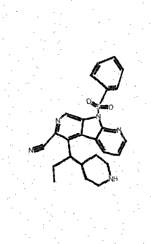 CCC(c1c(C#N)ncc2c1c1cccnc1n2S(=O)(=O)c1ccccc1)C1CCNCC1